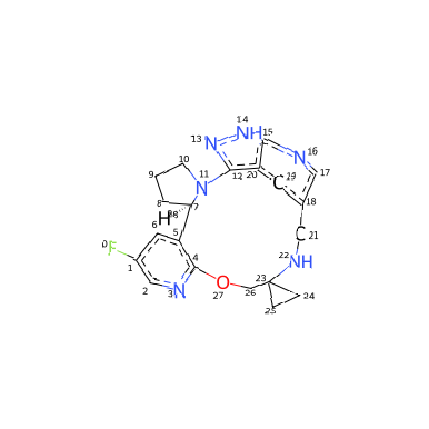 Fc1cnc2c(c1)[C@H]1CCCN1c1n[nH]c3ncc(cc13)CNC1(CC1)CO2